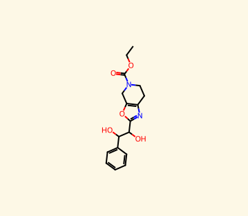 CCOC(=O)N1CCc2nc(C(O)C(O)c3ccccc3)oc2C1